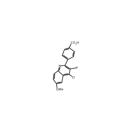 COc1ccc2nc(-c3ccc(C(=O)O)cc3)c(F)c(Cl)c2c1